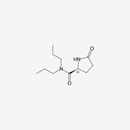 CCCN(CCC)C(=O)[C@@H]1CCC(=O)N1